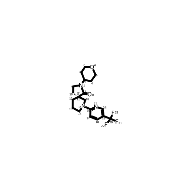 O=C1N(C2CCOCC2)CC[C@]12CCCN(c1ccc(C(F)(F)F)cn1)C2